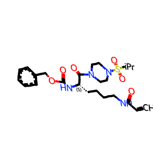 C=CC(=O)NCCCC[C@H](NC(=O)OCc1ccccc1)C(=O)N1CCN(S(=O)(=O)C(C)C)CC1